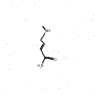 CNC/C=C/C(N)=O